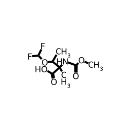 COC(=O)NC(C)(C(=O)O)C(C)OC(F)F